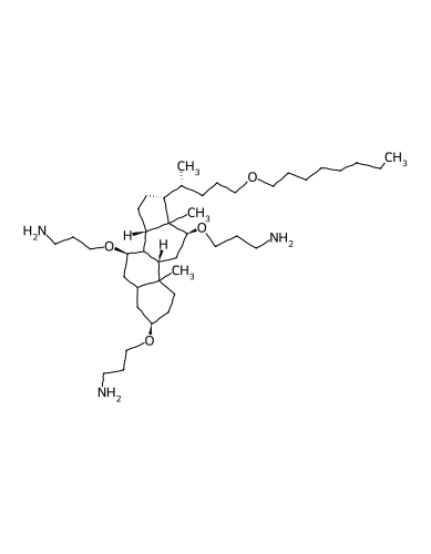 CCCCCCCCOCCC[C@@H](C)[C@H]1CC[C@H]2C3[C@H](OCCCN)CC4C[C@H](OCCCN)CCC4(C)[C@H]3C[C@H](OCCCN)C12C